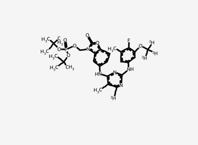 [2H]c1nc(Nc2cc(C)c(F)c(OC([2H])([2H])[2H])c2)nc(Nc2ccc3oc(=O)n(COP(=O)(OC(C)(C)C)OC(C)(C)C)c3c2)c1C